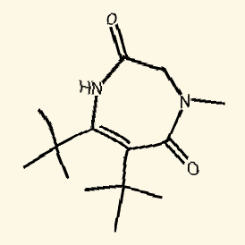 CN1CC(=O)NC(C(C)(C)C)=C(C(C)(C)C)C1=O